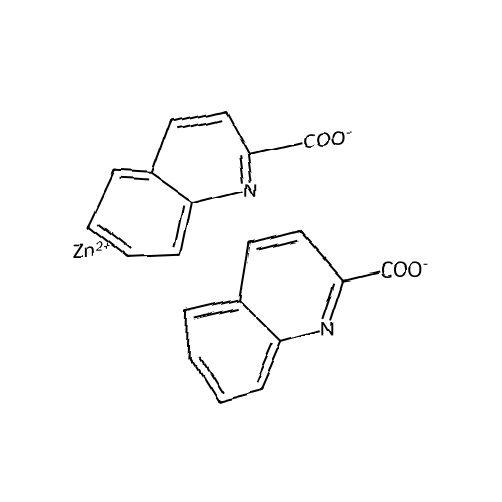 O=C([O-])c1ccc2ccccc2n1.O=C([O-])c1ccc2ccccc2n1.[Zn+2]